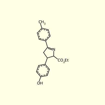 CCOC(=O)C1N=C(c2ccc(C)cc2)CC1c1ccc(O)cc1